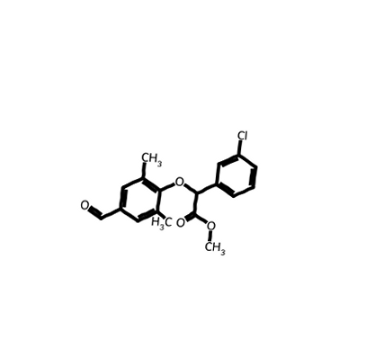 COC(=O)C(Oc1c(C)cc(C=O)cc1C)c1cccc(Cl)c1